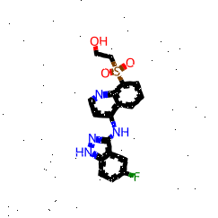 O=S(=O)(CCO)c1cccc2c(Nc3n[nH]c4ccc(F)cc34)ccnc12